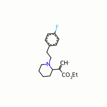 [CH]=C(C(=O)OCC)C1CCCCN1CCc1ccc(F)cc1